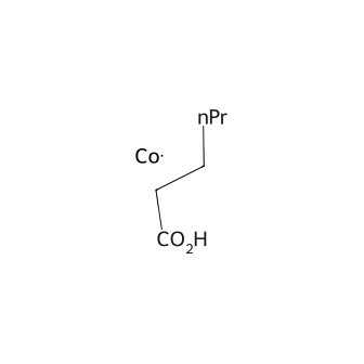 CCCCCC(=O)O.[Co]